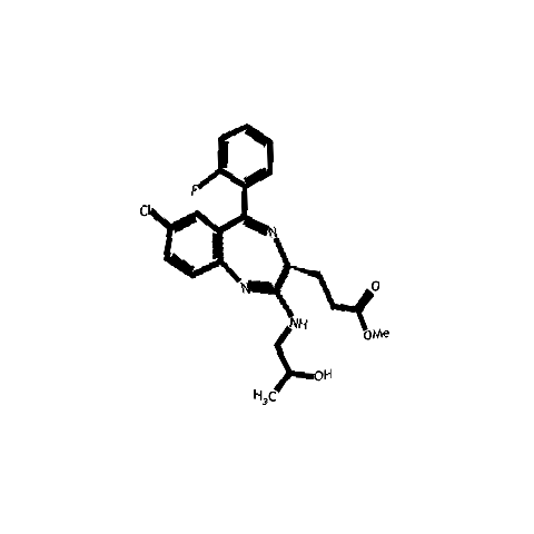 COC(=O)CC[C@@H]1N=C(c2ccccc2F)c2cc(Cl)ccc2N=C1NCC(C)O